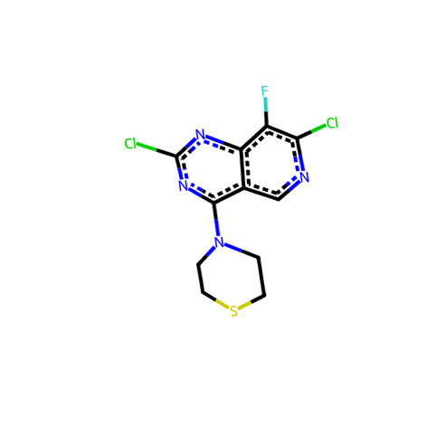 Fc1c(Cl)ncc2c(N3CCSCC3)nc(Cl)nc12